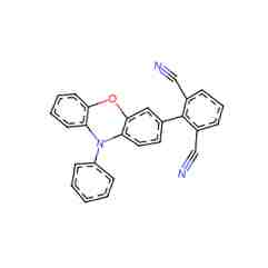 N#Cc1cccc(C#N)c1-c1ccc2c(c1)Oc1ccccc1N2c1ccccc1